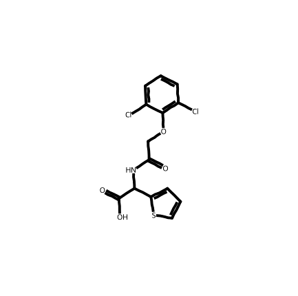 O=C(COc1c(Cl)cccc1Cl)NC(C(=O)O)c1cccs1